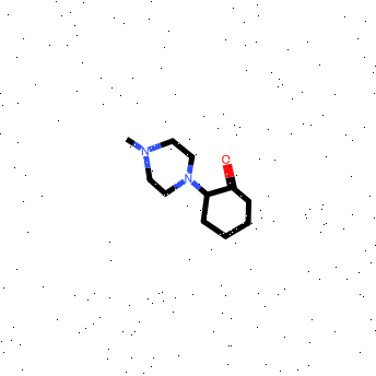 CN1CCN(C2CCCCC2=O)CC1